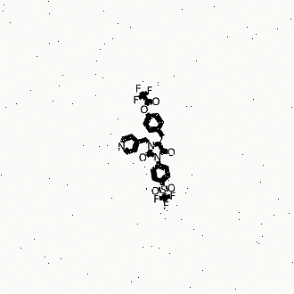 O=C1[C@@H](Cc2ccc(OC(=O)C(F)(F)F)cc2)N(Cc2ccncc2)C(=O)N1c1ccc(S(=O)(=O)C(F)(F)F)cc1